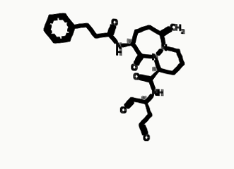 C=C1CC[C@H](NC(=O)CCc2ccccc2)C(=O)N2[C@H](C(=O)N[C@H](C=O)CC=O)CCCN12